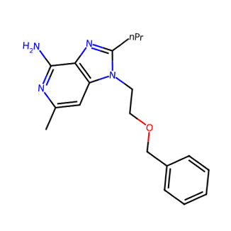 CCCc1nc2c(N)nc(C)cc2n1CCOCc1ccccc1